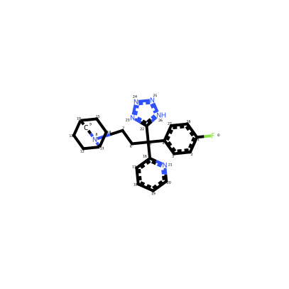 Fc1ccc(C(CCN2CC3CCC2CC3)(c2ccccn2)c2nnn[nH]2)cc1